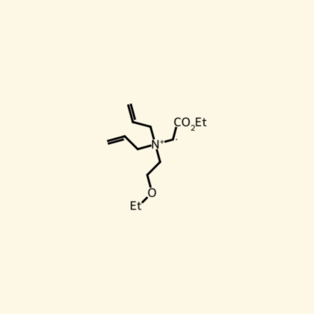 C=CC[N+]([CH]C(=O)OCC)(CC=C)CCOCC